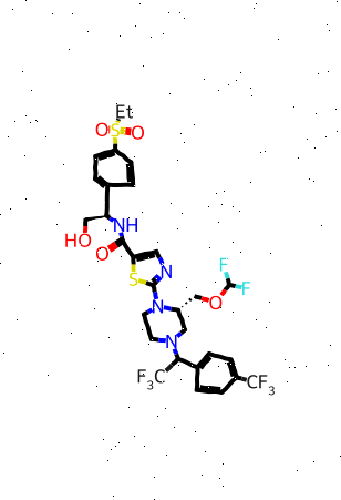 CCS(=O)(=O)c1ccc([C@H](CO)NC(=O)c2cnc(N3CCN(C(c4ccc(C(F)(F)F)cc4)C(F)(F)F)C[C@H]3COC(F)F)s2)cc1